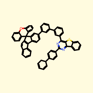 C1=CCC(c2ccc(-c3nc(-c4cccc(-c5cccc(-c6ccc7c(c6)C6(c8ccccc8Oc8ccccc86)c6ccc8ccccc8c6-7)c5)c4)c4sc5ccccc5c4n3)cc2)C=C1